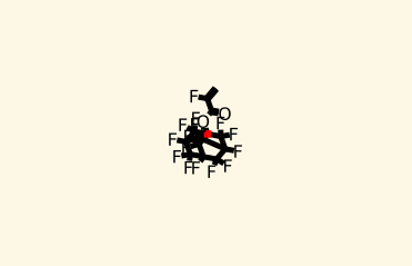 C=C(F)C(=O)OC12C(F)(F)C3(F)C(F)(F)C(F)(C(F)(F)C(F)(C3(F)F)C1(F)F)C2(F)F